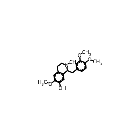 COc1cc2c(cc1O)C(Cc1ccc(OC)c(OC)c1)N(C)CC2